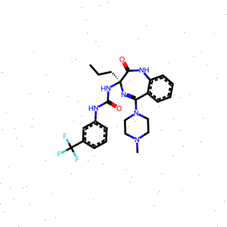 CCC[C@@]1(NC(=O)Nc2cccc(C(F)(F)F)c2)N=C(N2CCN(C)CC2)c2ccccc2NC1=O